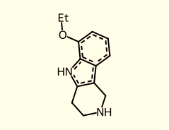 CCOc1cccc2c3c([nH]c12)CCNC3